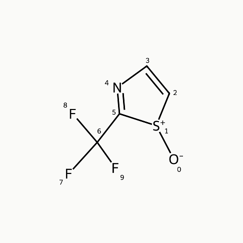 [O-][s+]1ccnc1C(F)(F)F